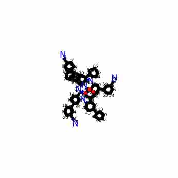 N#Cc1ccc(-c2ccc(-c3nc(-c4ccc(-c5cccc(C#N)c5)cc4-n4c5ccccc5c5cc(-c6ccccc6)ccc54)nc(-c4ccc(-c5cccc(C#N)c5)cc4-n4c5ccccc5c5cc(-c6ccccc6)ccc54)n3)cc2)cc1